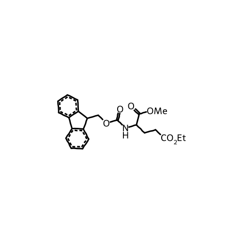 CCOC(=O)CCC(NC(=O)OCC1c2ccccc2-c2ccccc21)C(=O)OC